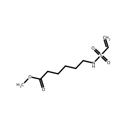 C=CS(=O)(=O)NCCCCCC(=O)OC